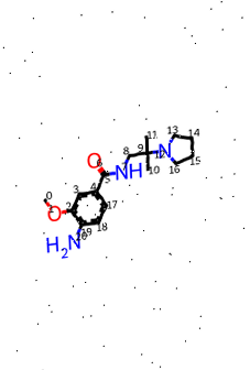 COc1cc(C(=O)NCC(C)(C)N2CCCC2)ccc1N